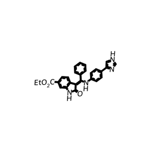 CCOC(=O)c1ccc2c(c1)NC(=O)/C2=C(\Nc1ccc(-c2c[nH]cn2)cc1)c1ccccc1